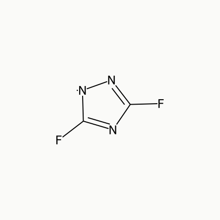 FC1=NC(F)=N[N]1